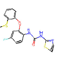 CSc1ccccc1Oc1cc(F)ccc1NC(=O)Nc1nccs1